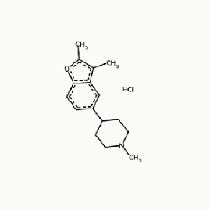 Cc1oc2ccc(C3CCN(C)CC3)cc2c1C.Cl